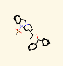 CC(OC(c1ccccc1)c1ccccc1)C1CCN(Cc2ccccc2NS(C)(=O)=O)CC1